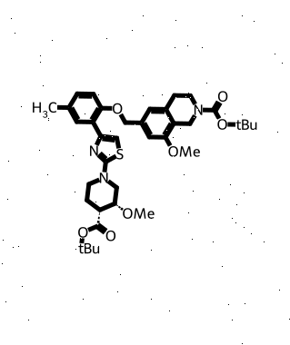 COc1cc(COc2ccc(C)cc2-c2csc(N3CC[C@@H](C(=O)OC(C)(C)C)[C@@H](OC)C3)n2)cc2c1CN(C(=O)OC(C)(C)C)CC2